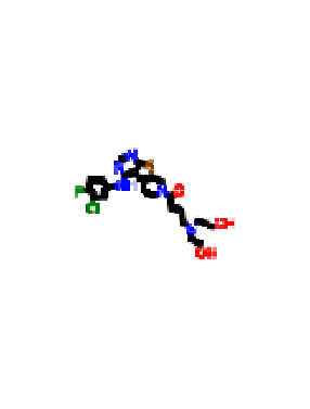 O=C(C=CCN(CCO)CCO)N1CCc2c(sc3ncnc(Nc4ccc(F)c(Cl)c4)c23)C1